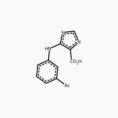 CC(=O)c1cccc(Nc2scnc2C(=O)O)c1